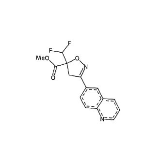 COC(=O)C1(C(F)F)CC(c2ccc3ncccc3c2)=NO1